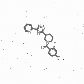 O=C(c1ccc(F)cc1F)N1CCCC(c2nc(-c3ccccn3)no2)C1